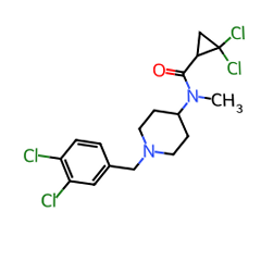 CN(C(=O)C1CC1(Cl)Cl)C1CCN(Cc2ccc(Cl)c(Cl)c2)CC1